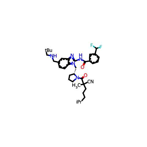 CC(C)CCCC(C)(C#N)C(=O)N1CCC[C@@H]1Cn1c(NC(=O)c2cccc(C(F)F)c2)nc2cc(CNCC(C)(C)C)ccc21